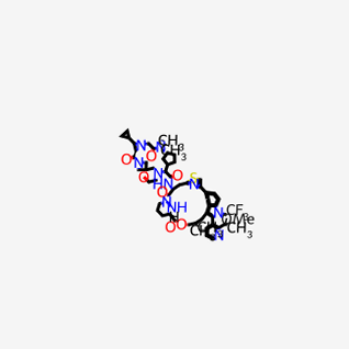 CO[C@@H](C)c1ncccc1-c1c2c3cc(ccc3n1CC(F)(F)F)-c1csc(n1)C[C@H](NC(=O)C(C1CCCC1)N1CCOC3(CN(C(=O)[C@H]4C(C5CC5)N4CC(=O)N(C)C)C3)C1)C(=O)N1CCC[C@H](N1)C(=O)OCC(C)(C)C2